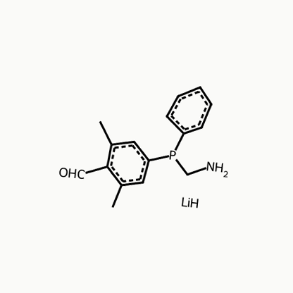 Cc1cc(P(CN)c2ccccc2)cc(C)c1C=O.[LiH]